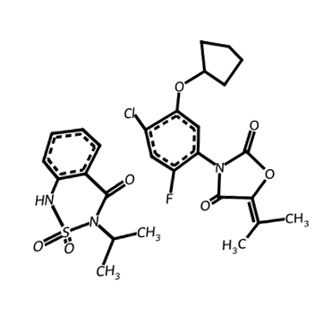 CC(C)=C1OC(=O)N(c2cc(OC3CCCC3)c(Cl)cc2F)C1=O.CC(C)N1C(=O)c2ccccc2NS1(=O)=O